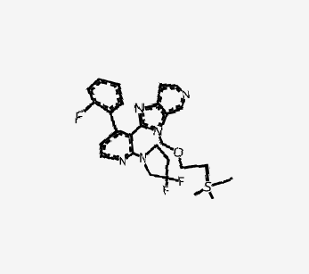 CS(C)(C)CCOCn1c(-c2c(-c3ccccc3F)ccnc2N2CCC(F)(F)C2)nc2ccncc21